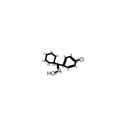 ON=C(c1ccc(Cl)cc1)C1CCCCC1